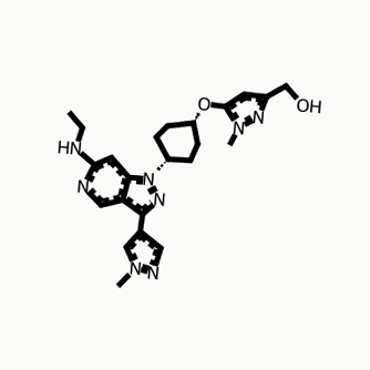 CCNc1cc2c(cn1)c(-c1cnn(C)c1)nn2[C@H]1CC[C@@H](Oc2cc(CO)nn2C)CC1